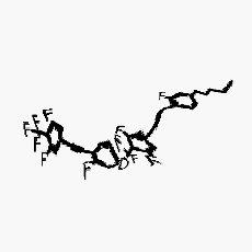 CCCCCc1ccc(C#Cc2cc(F)c(C(F)(F)Oc3ccc(C#Cc4cc(F)c(C(F)(F)F)c(F)c4)c(F)c3)c(F)c2)c(F)c1